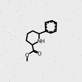 COC(=O)C1CCCC(c2ccccc2)N1